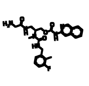 Cc1c(F)cccc1CNC(=O)N(C)[C@@H](CNC(=O)CN)COC(=O)Nc1cc2ccccc2cn1